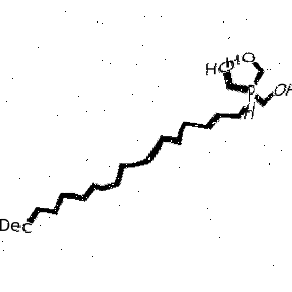 CCCCCCCCCCCCCCCCCCCCCCCC[PH](CO)(CO)CO